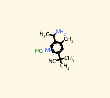 Cc1cc(C(C)(C)C#N)ccc1C(C)N.Cl.N